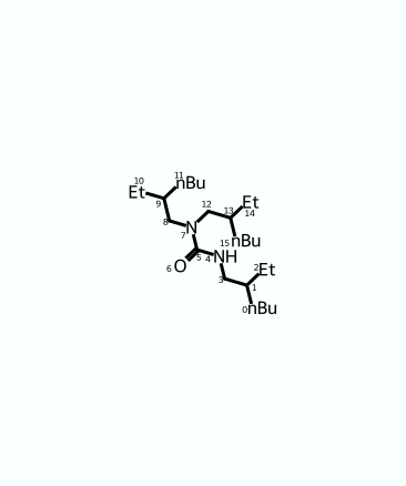 CCCCC(CC)CNC(=O)N(CC(CC)CCCC)CC(CC)CCCC